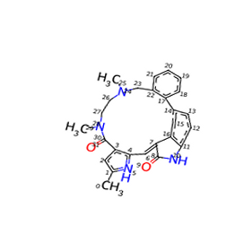 Cc1cc2c([nH]1)/C=C1\C(=O)Nc3ccc(cc31)-c1ccccc1CN(C)CCN(C)C2=O